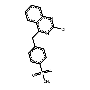 CS(=O)(=O)c1ccc(Cc2nc(Cl)nc3ccccc23)cc1